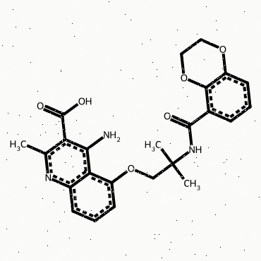 Cc1nc2cccc(OCC(C)(C)NC(=O)c3cccc4c3OCCO4)c2c(N)c1C(=O)O